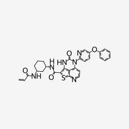 C=CC(=O)NC1CCC[C@@H](NC(=O)c2sc3nccc4c3c2NC(=O)N4c2ccc(Oc3ccccc3)cn2)C1